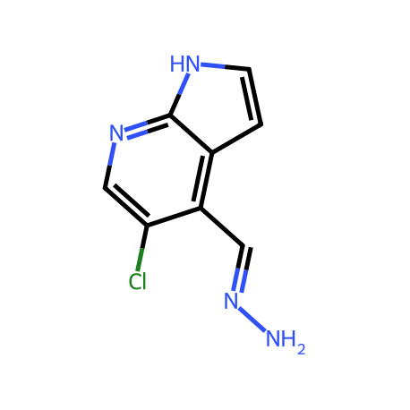 NN=Cc1c(Cl)cnc2[nH]ccc12